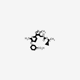 Cc1nc(-c2nnn(C)c2CNC(=O)O[C@H](C)C2CC2)ccc1O[C@H]1CCC[C@H](C(=O)O)C1